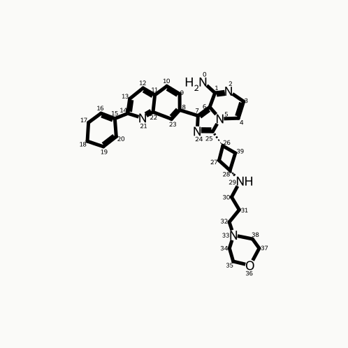 Nc1nccn2c1c(-c1ccc3ccc(C4=CCCC=C4)nc3c1)nc2[C@H]1C[C@@H](NCCCN2CCOCC2)C1